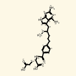 COC(CCCc1ccc(C(=O)N[C@@H](CCC(=O)O)C(=O)O)cc1)Cc1c[nH]c2nc(N)nc(N)c12